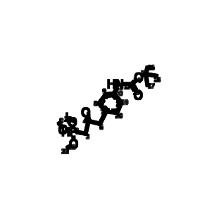 CO[PH](CC(=O)Cc1ccc(NC(=O)OC(C)(C)C)cc1)(OC)OI